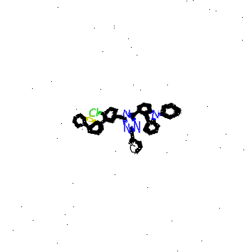 Clc1ccc(-c2nc(-c3ccccc3)nc(-c3cccc4c3c3ccccc3n4-c3ccccc3)n2)cc1-c1cccc2c1sc1ccccc12